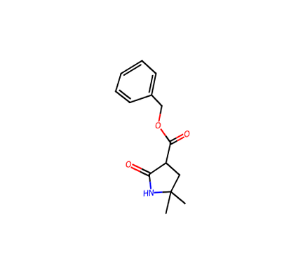 CC1(C)CC(C(=O)OCc2ccccc2)C(=O)N1